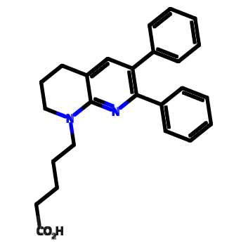 O=C(O)CCCCN1CCCc2cc(-c3ccccc3)c(-c3ccccc3)nc21